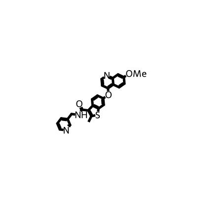 COc1ccc2c(Oc3ccc4c(C(=O)NCc5cccnc5)c(C)sc4c3)ccnc2c1